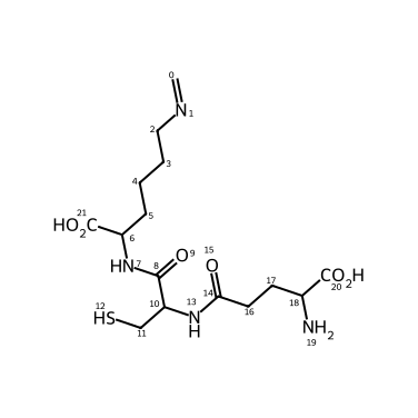 C=NCCCCC(NC(=O)C(CS)NC(=O)CCC(N)C(=O)O)C(=O)O